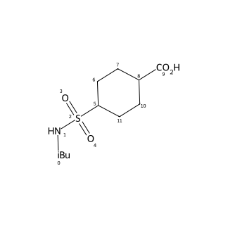 CCC(C)NS(=O)(=O)C1CCC(C(=O)O)CC1